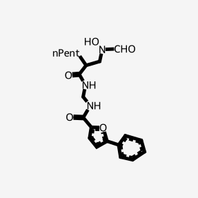 CCCCCC(CN(O)C=O)C(=O)NCNC(=O)c1ccc(-c2ccccc2)o1